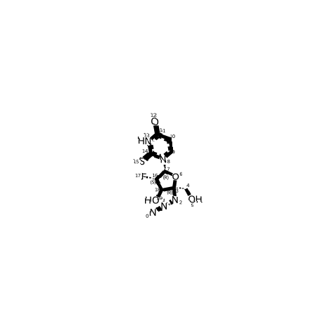 [N-]=[N+]=N[C@]1(CO)O[C@@H](n2ccc(=O)[nH]c2=S)[C@@H](F)C1O